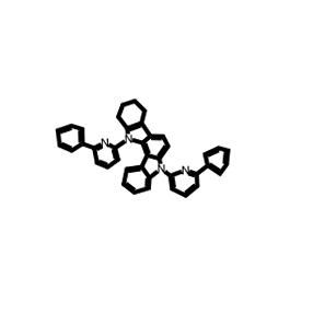 c1ccc(-c2cccc(-n3c4c(c5ccc6c(c7ccccc7n6-c6cccc(-c7ccccc7)n6)c53)CCCC4)n2)cc1